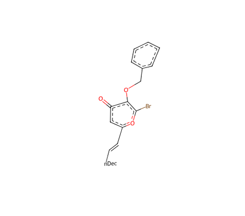 CCCCCCCCCCC=Cc1cc(=O)c(OCc2ccccc2)c(Br)o1